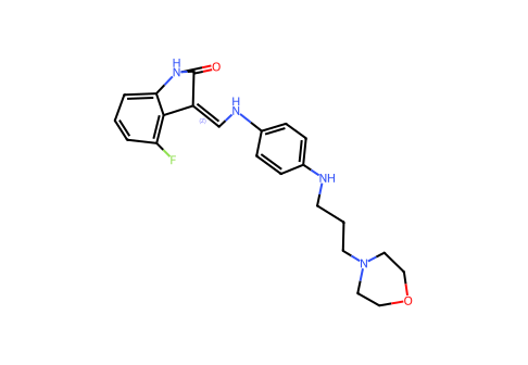 O=C1Nc2cccc(F)c2/C1=C/Nc1ccc(NCCCN2CCOCC2)cc1